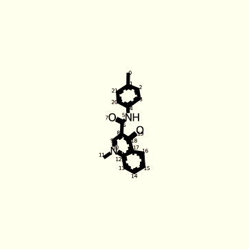 Cc1ccc(NC(=O)c2cn(C)c3ccccc3c2=O)cc1